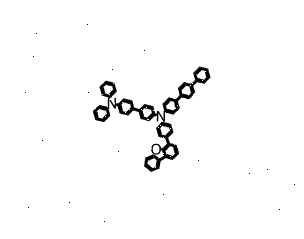 c1ccc(-c2ccc(-c3ccc(N(c4ccc(-c5ccc(N(c6ccccc6)c6ccccc6)cc5)cc4)c4ccc(-c5cccc6c5oc5ccccc56)cc4)cc3)cc2)cc1